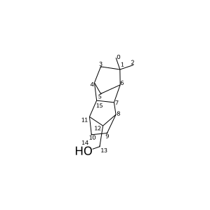 CC1(C)CC2CC1C1C3CCC(C3CO)C21